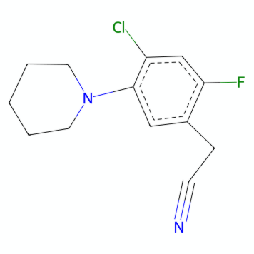 N#CCc1cc(N2CCCCC2)c(Cl)cc1F